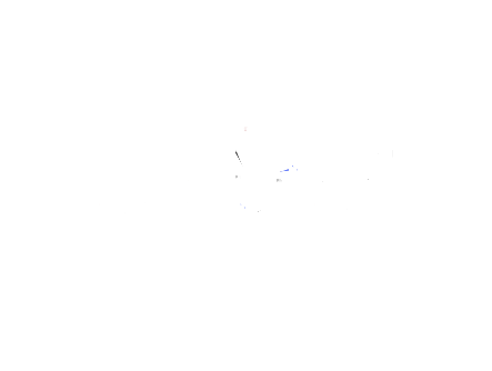 CC(C)(C)OC(=O)N[C@H]1C(=O)N(CC(=S)OCC(=O)O)[C@H]1CBr